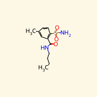 CCCCNC(=O)c1cc(C)ccc1S(N)(=O)=O